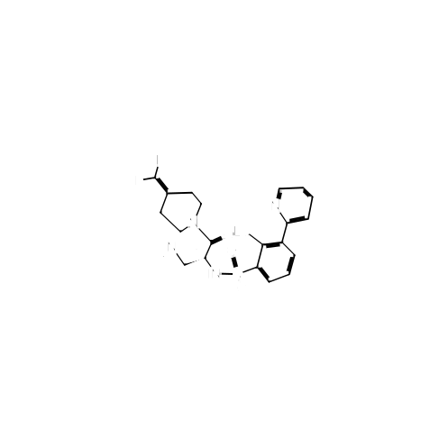 CCc1c(-c2ccccn2)cccc1S(=O)(=O)N[C@@H](CN)C(=O)N1CCC(=C(F)F)CC1